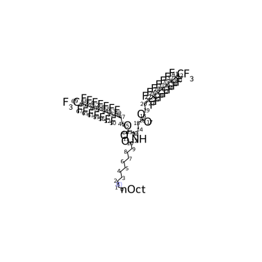 CCCCCCCC/C=C\CCCCCCCC(=O)N[C@@H](CCC(=O)OCCC(F)(F)C(F)(F)C(F)(F)C(F)(F)C(F)(F)C(F)(F)C(F)(F)C(F)(F)F)C(=O)OCCC(F)(F)C(F)(F)C(F)(F)C(F)(F)C(F)(F)C(F)(F)C(F)(F)C(F)(F)F